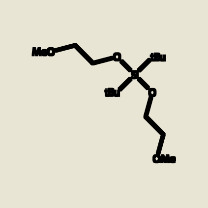 COCCO[Si](OCCOC)(C(C)(C)C)C(C)(C)C